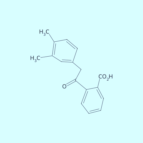 Cc1ccc(CC(=O)c2ccccc2C(=O)O)cc1C